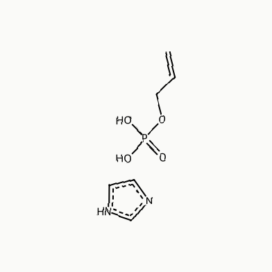 C=CCOP(=O)(O)O.c1c[nH]cn1